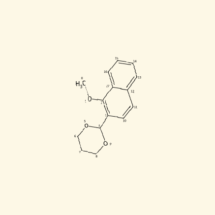 COc1c(C2OCCCO2)ccc2ccccc12